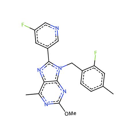 COc1nc(C)c2nc(-c3cncc(F)c3)n(Cc3ccc(C)cc3F)c2n1